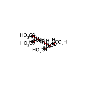 O=C(O)CCC(=O)NCCOCCN(CCOCCNC(=O)CCC(=O)O)CC(=O)NCCOCCN(CCOCCNC(=O)CN(CCOCCNC(=O)CCC(=O)O)CCOCCNC(=O)CCC(=O)O)CC(=O)O